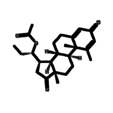 CC[C@H](OC(C)=O)[C@@H]1CC(=O)[C@@]2(C)CC[C@H]3[C@@H](CCC4=CC(=O)C=C(C)[C@@]43C)[C@H]12